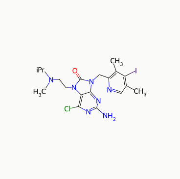 Cc1cnc(Cn2c(=O)n(CCN(C)C(C)C)c3c(Cl)nc(N)nc32)c(C)c1I